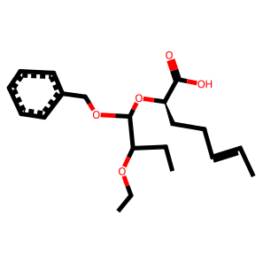 C/C=C/CC[C@@H](OC(OCc1ccccc1)C(CC)OCC)C(=O)O